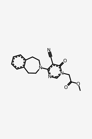 COC(=O)Cn1cnc(N2CCc3ccccc3CC2)c(C#N)c1=O